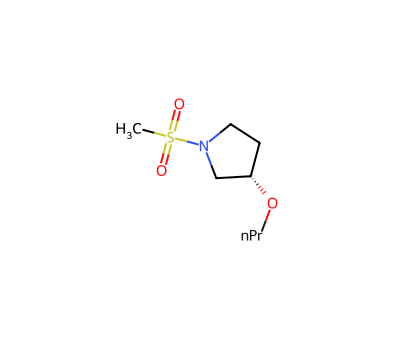 CCCO[C@H]1CCN(S(C)(=O)=O)C1